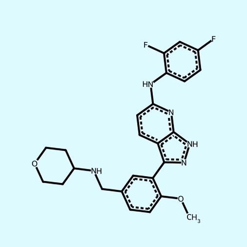 COc1ccc(CNC2CCOCC2)cc1-c1n[nH]c2nc(Nc3ccc(F)cc3F)ccc12